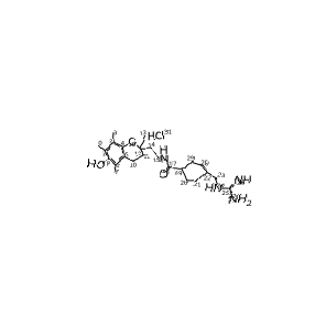 Cc1c(C)c2c(c(C)c1O)CCC(C)(CCNC(=O)C1CCC(CNC(=N)N)CC1)O2.Cl